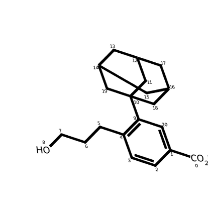 O=C(O)c1ccc(CCCO)c(C23CC4CC(CC(C4)C2)C3)c1